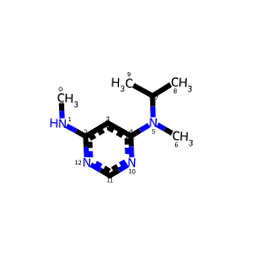 CNc1cc(N(C)C(C)C)ncn1